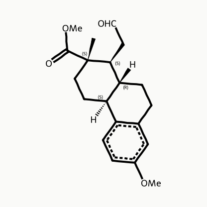 COC(=O)[C@@]1(C)CC[C@@H]2c3ccc(OC)cc3CC[C@H]2[C@@H]1CC=O